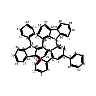 c1ccc(-c2cc(-c3ccccc3)nc(-n3c4ccccc4c4cccc(-c5cccc6c7ccccc7n(-c7ccccc7)c56)c43)n2)cc1